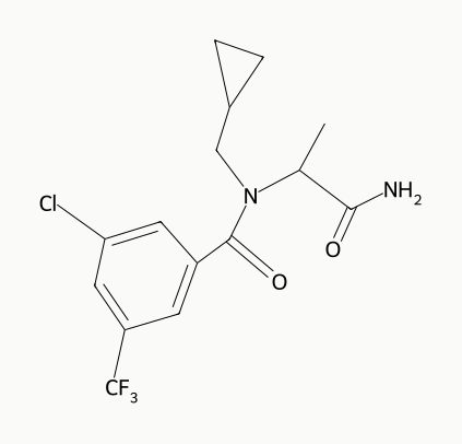 CC(C(N)=O)N(CC1CC1)C(=O)c1cc(Cl)cc(C(F)(F)F)c1